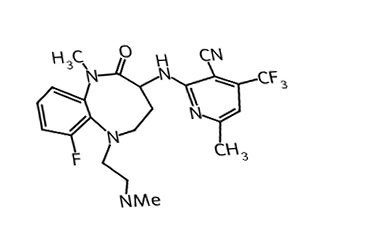 CNCCN1CCC(Nc2nc(C)cc(C(F)(F)F)c2C#N)C(=O)N(C)c2cccc(F)c21